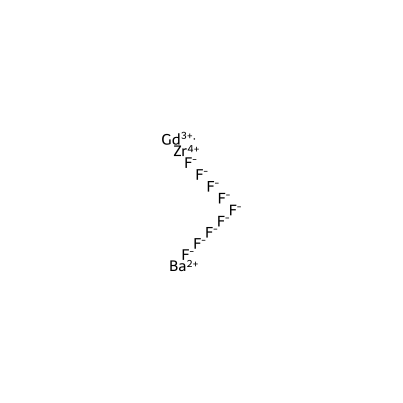 [Ba+2].[F-].[F-].[F-].[F-].[F-].[F-].[F-].[F-].[F-].[Gd+3].[Zr+4]